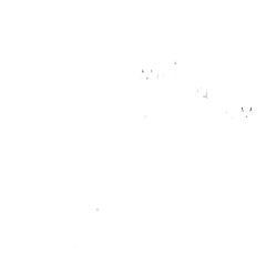 C=C[Si](CCC=Cc1ccccc1)(OC)OC